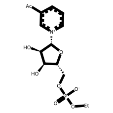 CCOP(=O)([O-])OC[C@H]1O[C@@H]([n+]2cccc(C(C)=O)c2)[C@H](O)[C@@H]1O